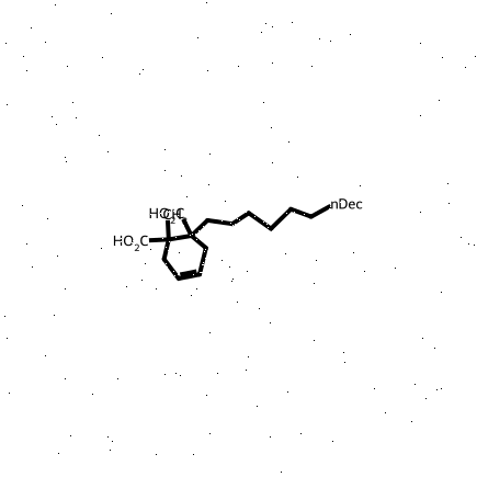 CCCCCCCCCCCCCCCCC1(C(=O)O)CC=CCC1(C)C(=O)O